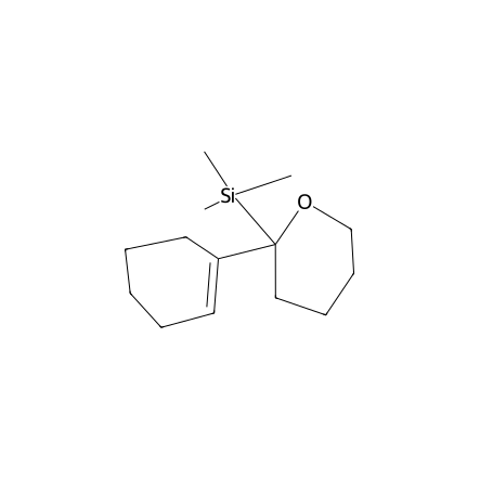 C[Si](C)(C)C1(C2=CCCCC2)CCCCO1